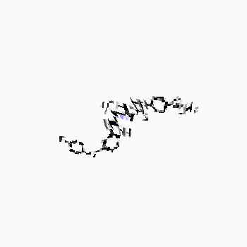 COc1ccc(NC(=S)N/N=C(\C)c2nc3cc(Sc4ccc(F)cc4)ccc3[nH]2)cc1